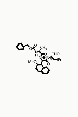 COc1ccc2ccccc2c1C(NC(=O)[C@H](C)NC(=O)OCc1ccccc1)C(=O)N[C@H](C=O)CC(C)C